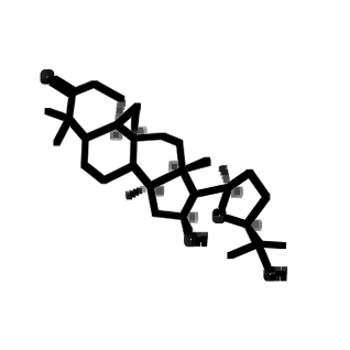 CC1(C)C(=O)CC[C@]23C[C@]24CC[C@]2(C)C([C@@]5(C)CC[C@@H](C(C)(C)O)O5)[C@@H](O)C[C@@]2(C)C4CCC13